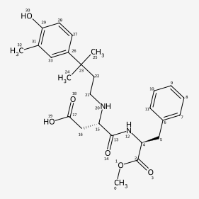 COC(=O)[C@H](Cc1ccccc1)NC(=O)[C@H](CC(=O)O)NCCC(C)(C)c1ccc(O)c(C)c1